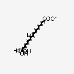 O=C([O-])CCCCCCCCCCCCCCCCC(O)(O)O.[Li+]